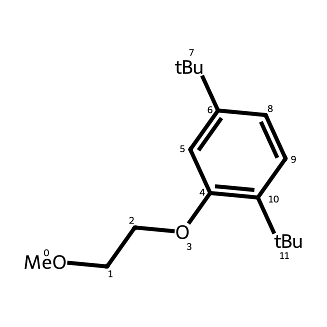 COCCOc1cc(C(C)(C)C)ccc1C(C)(C)C